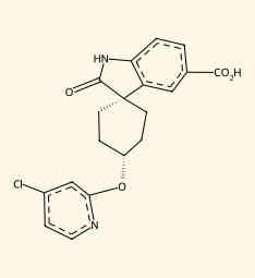 O=C(O)c1ccc2c(c1)[C@]1(CC[C@@H](Oc3cc(Cl)ccn3)CC1)C(=O)N2